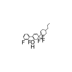 CCCC1CC=C(C2(C(F)(F)F)C=CC(c3cccc(F)c3F)=C(O)C2)CC1